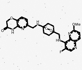 COc1ccc2ncc(F)c(NCC34CCC(NCc5ccc6c(n5)NC(=O)CO6)(CC3)CO4)c2n1